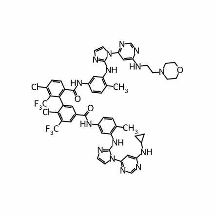 Cc1ccc(NC(=O)c2cc(-c3c(C(=O)Nc4ccc(C)c(Nc5nccn5-c5cc(NCCN6CCOCC6)ncn5)c4)ccc(Cl)c3C(F)(F)F)c(Cl)c(C(F)(F)F)c2)cc1Nc1nccn1-c1cc(NC2CC2)ncn1